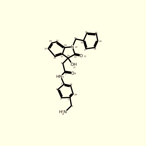 NCc1ccc(NC(=O)CC2(O)C(=O)N(Cc3ccccc3)c3ccccc32)cc1